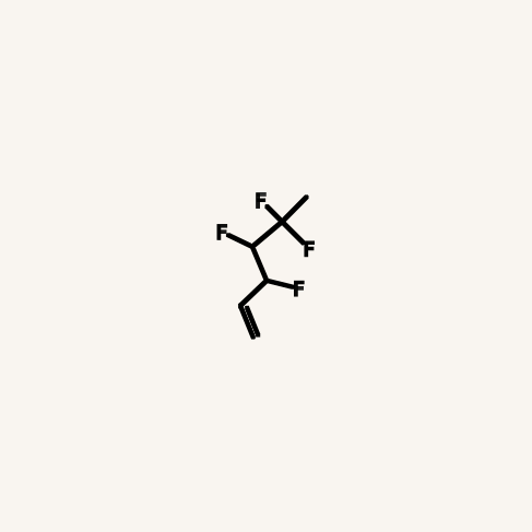 C=CC(F)C(F)C(C)(F)F